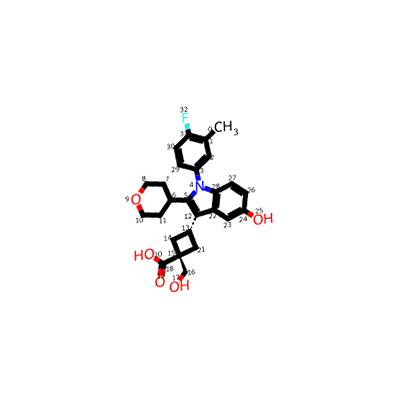 Cc1cc(-n2c(C3CCOCC3)c([C@H]3C[C@@](CO)(C(=O)O)C3)c3cc(O)ccc32)ccc1F